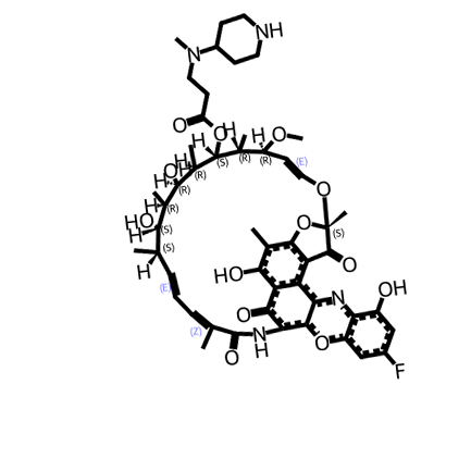 CO[C@H]1/C=C/O[C@@]2(C)Oc3c(C)c(O)c4c(=O)c(c5oc6cc(F)cc(O)c6nc-5c4c3C2=O)NC(=O)/C(C)=C\C=C\[C@H](C)[C@H](O)[C@@H](C)[C@@H](O)[C@@H](C)[C@H](OC(=O)CCN(C)C2CCNCC2)[C@@H]1C